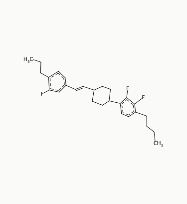 CCCCc1ccc(C2CCC(/C=C/c3ccc(CCC)c(F)c3)CC2)c(F)c1F